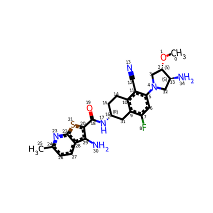 CO[C@H]1CN(c2cc(F)c3c(c2C#N)CC[C@@H](NC(=O)c2sc4nc(C)ccc4c2N)C3)C[C@@H]1N